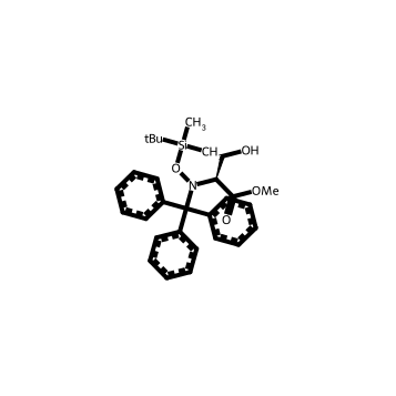 COC(=O)[C@H](CO)N(O[Si](C)(C)C(C)(C)C)C(c1ccccc1)(c1ccccc1)c1ccccc1